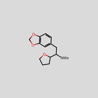 CNC(Cc1ccc2c(c1)OCO2)C1CCCO1